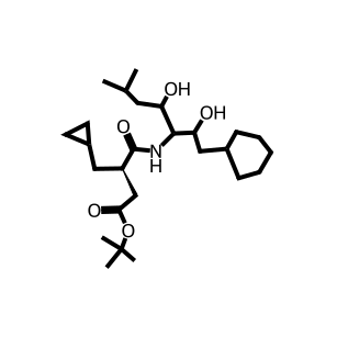 CC(C)CC(O)C(NC(=O)[C@@H](CC(=O)OC(C)(C)C)CC1CC1)C(O)CC1CCCCC1